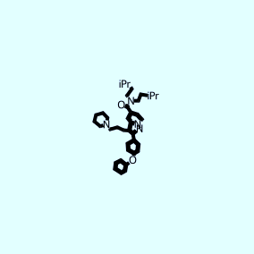 CC(C)CCN(CCC(C)C)C(=O)c1ccn2nc(-c3ccc(Oc4ccccc4)cc3)c(CCCN3CCCCC3)c2c1